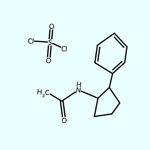 CC(=O)NC1CCCC1c1ccccc1.O=S(=O)(Cl)Cl